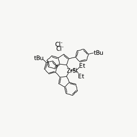 CC[Si](CC)=[Zr+2]([CH]1C(c2ccc(C(C)(C)C)cc2)=Cc2ccccc21)[CH]1C(c2ccc(C(C)(C)C)cc2)=Cc2ccccc21.[Cl-].[Cl-]